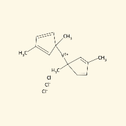 CC1=C[C](C)([V+3][C]2(C)C=CC(C)=C2)C=C1.[Cl-].[Cl-].[Cl-]